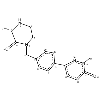 C[C@@H]1NCCN(Cc2ccc(-c3ccc(=O)n(C)n3)cc2)C1=O